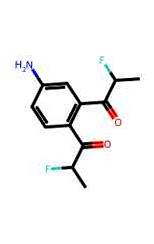 CC(F)C(=O)c1ccc(N)cc1C(=O)C(C)F